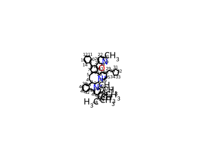 C=C1C2C(CCc3cc(-c4ccccc4)c4c(oc5nc(C)ccc54)c3-c3cc(CC4CCCC4)cc[n+]31)c1ccccc1-c1cc(C(C)C)c([Si](C)(C)C)c[n+]12